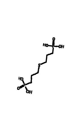 O=P(O)(O)CCCSCCCP(=O)(O)O